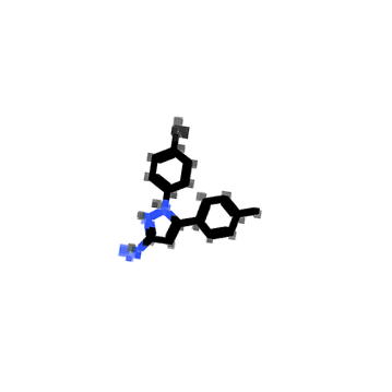 Cc1ccc(-c2cc(N)nn2-c2ccc(C#N)cc2)cc1